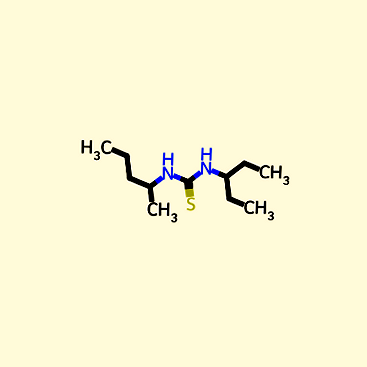 CCCC(C)NC(=S)NC(CC)CC